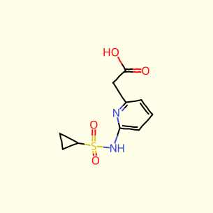 O=C(O)Cc1cccc(NS(=O)(=O)C2CC2)n1